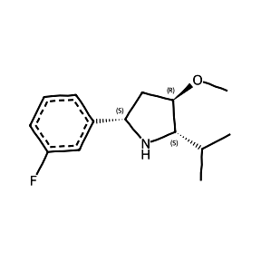 CO[C@@H]1C[C@@H](c2cccc(F)c2)N[C@H]1C(C)C